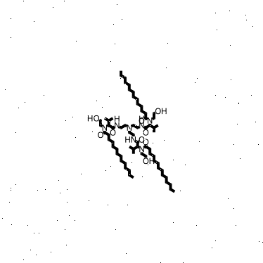 CCCCCCCCCCCCCC(=O)N(CCO)C(C(=O)NCCN(CCNC(=O)C(C(C)C)N(CCO)C(=O)CCCCCCCCCCCCC)CCNC(=O)C(C(C)C)N(CCO)C(=O)CCCCCCCCCCCCC)C(C)C